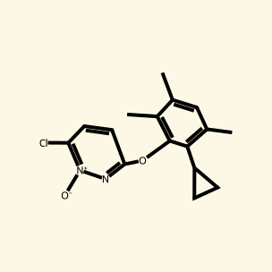 Cc1cc(C)c(C2CC2)c(Oc2ccc(Cl)[n+]([O-])n2)c1C